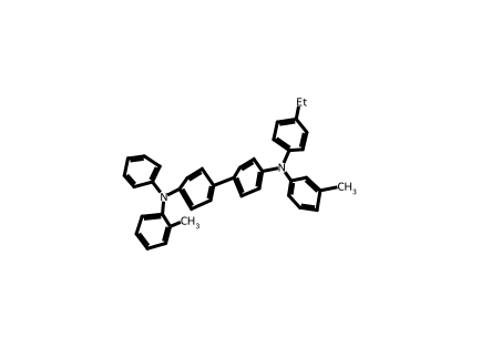 CCc1ccc(N(c2ccc(-c3ccc(N(c4ccccc4)c4ccccc4C)cc3)cc2)c2cccc(C)c2)cc1